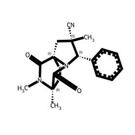 CN1C(=O)[C@@]23C[C@](C)(C#N)[C@H](c4ccccc4)N2C(=O)[C@@]1(C)SS3